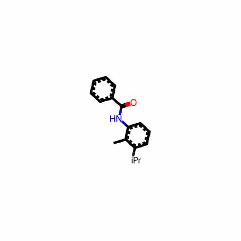 Cc1c(NC(=O)c2ccccc2)cccc1C(C)C